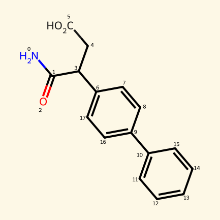 NC(=O)C(CC(=O)O)c1ccc(-c2ccccc2)cc1